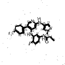 C=CC(=O)Nc1ccc(F)c(Nc2cc(Nc3cnn(C)c3)ncc2-c2ccc(C(F)(F)F)cc2)c1